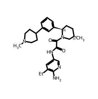 CCc1cc(NC(=O)C(=O)N2C[C@@H](C)CC[C@@H]2c2cccc(C3CCN(C)CC3)c2)cnc1N